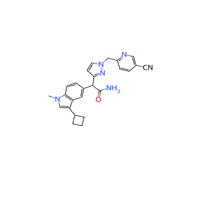 Cn1cc(C2CCC2)c2cc(C(C(N)=O)c3ccn(Cc4ccc(C#N)cn4)n3)ccc21